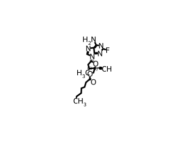 C#C[C@]1(COC(=O)CCCCCC)O[C@@H](n2cnc3c(N)nc(F)nc32)C[C@@H]1C